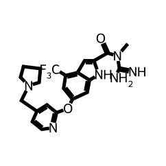 CN(C(=N)N)C(=O)c1cc2c(C(F)(F)F)cc(Oc3cc(CN4CCCC4)ccn3)cc2[nH]1